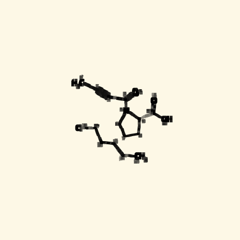 CC#CC(=O)N1CCC[C@H]1C(=O)O.CCCCCCl